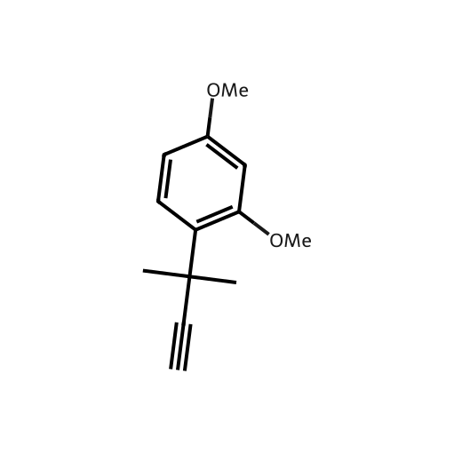 C#CC(C)(C)c1ccc(OC)cc1OC